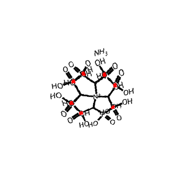 N.O=P(O)(O)C([N+](C(P(=O)(O)O)P(=O)(O)O)(C(P(=O)(O)O)P(=O)(O)O)C(P(=O)(O)O)P(=O)(O)O)P(=O)(O)O